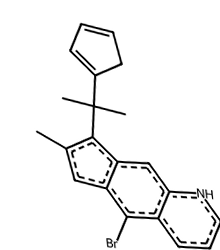 Cc1cc2c(Br)c3ccc[nH]c3cc2c1C(C)(C)C1=CC=CC1